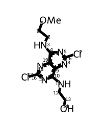 COCCNc1nc(Cl)nc2c(NCCO)nc(Cl)nc12